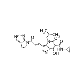 CC(C)Cn1c(=O)c(C(=O)NC2CC2)c(O)n2ncc(/C=C/C(=O)N3CCc4cncnc43)c12